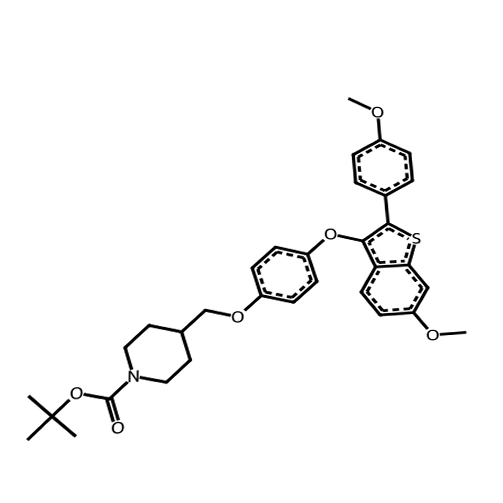 COc1ccc(-c2sc3cc(OC)ccc3c2Oc2ccc(OCC3CCN(C(=O)OC(C)(C)C)CC3)cc2)cc1